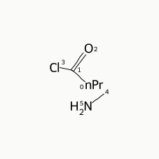 CCCC(=O)Cl.CN